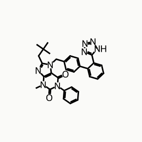 Cn1c(=O)n(-c2ccccc2)c(=O)c2c1nc(CC(C)(C)C)n2Cc1ccc(-c2ccccc2-c2nnn[nH]2)cc1